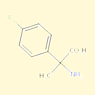 CC(N)(C(=O)O)c1ccc(F)cc1